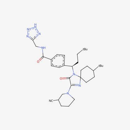 CC(C)(C)CC[C@H](c1ccc(C(=O)NCc2nn[nH]n2)cc1)N1C(=O)C(N2CCCC(C#N)C2)=NC12CCC(C(C)(C)C)CC2